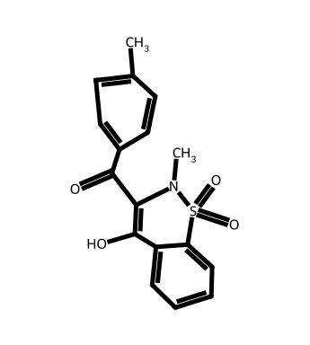 Cc1ccc(C(=O)C2=C(O)c3ccccc3S(=O)(=O)N2C)cc1